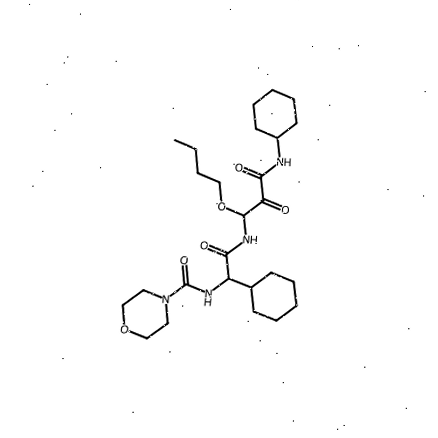 CCCCOC(NC(=O)C(NC(=O)N1CCOCC1)C1CCCCC1)C(=O)C(=O)NC1CCCCC1